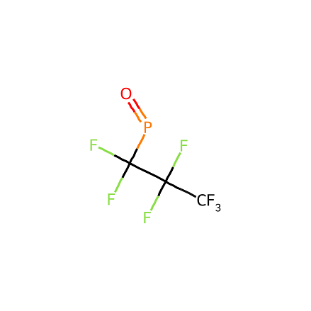 O=PC(F)(F)C(F)(F)C(F)(F)F